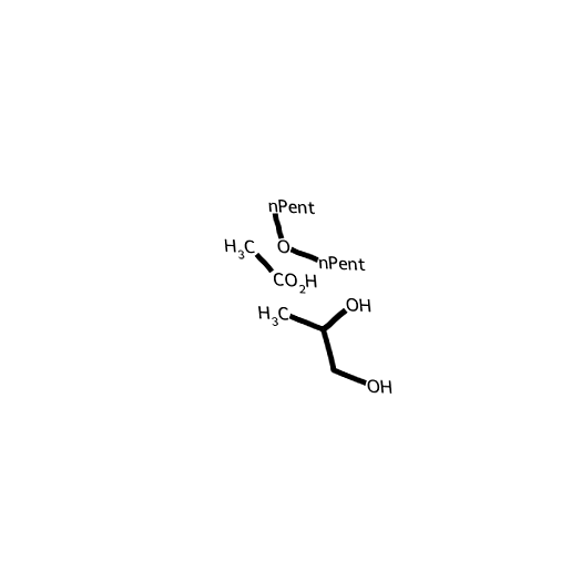 CC(=O)O.CC(O)CO.CCCCCOCCCCC